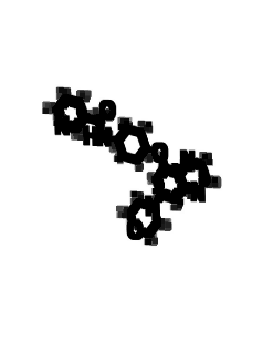 O=C(N[C@H]1CC[C@@H](Oc2cc(N3CCOCC3)cc3nccnc23)CC1)c1cccnc1